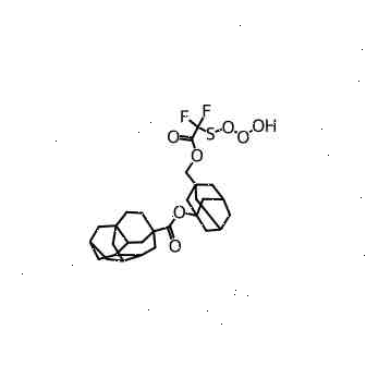 O=C(OC12CC3CC(CC(COC(=O)C(F)(F)SOOO)(C3)C1)C2)C12CCC34CC5CC(C3)C(C1)C(C5)C4C2